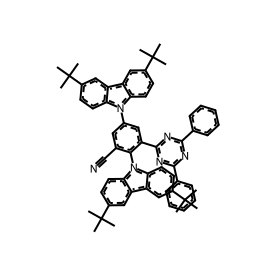 CC(C)(C)c1ccc2c(c1)c1cc(C(C)(C)C)ccc1n2-c1cc(C#N)c(-n2c3ccc(C(C)(C)C)cc3c3cc(C(C)(C)C)ccc32)c(-c2nc(-c3ccccc3)nc(-c3ccccc3)n2)c1